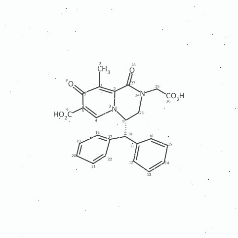 Cc1c2n(cc(C(=O)O)c1=O)[C@@H](C(c1ccccc1)c1ccccc1)CN(CC(=O)O)C2=O